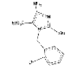 CCCCc1nc(N)c(C(=O)OCC)n1Cc1ccccc1Cl